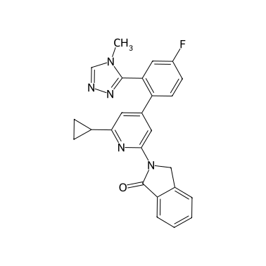 Cn1cnnc1-c1cc(F)ccc1-c1cc(C2CC2)nc(N2Cc3ccccc3C2=O)c1